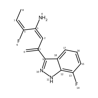 C=C(/C=C(N)\C(F)=C/C)c1n[nH]c2c(F)cccc12